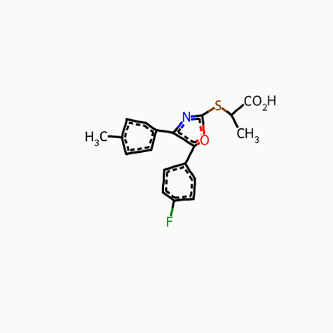 Cc1ccc(-c2nc(SC(C)C(=O)O)oc2-c2ccc(F)cc2)cc1